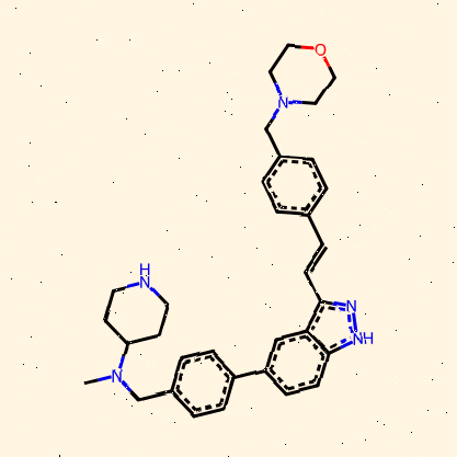 CN(Cc1ccc(-c2ccc3[nH]nc(C=Cc4ccc(CN5CCOCC5)cc4)c3c2)cc1)C1CCNCC1